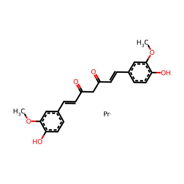 COc1cc(/C=C/C(=O)CC(=O)/C=C/c2ccc(O)c(OC)c2)ccc1O.[Pr]